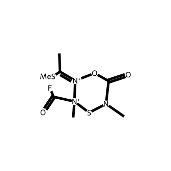 CSC(C)=[N+]1OC(=O)N(C)S[N+]1(C)C(=O)F